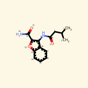 CC(C)CC(=O)Nc1c(C(N)=O)oc2ccccc12